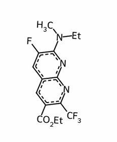 CCOC(=O)c1cc2cc(F)c(N(C)CC)nc2nc1C(F)(F)F